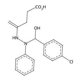 C=C(CCC(=O)O)NN(c1ccccc1)C(O)c1ccc(Cl)cc1